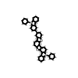 c1ccc(-n2c3ccccc3c3cc(-c4ccc5oc6c(ccc7oc8c(ccc9c8c8ccccc8n9-c8ccccc8)c76)c5c4)ccc32)cc1